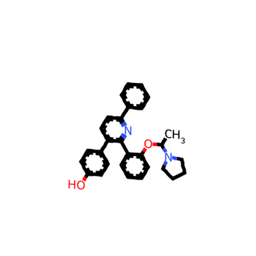 CC(Oc1ccccc1-c1nc(-c2ccccc2)ccc1-c1ccc(O)cc1)N1CCCC1